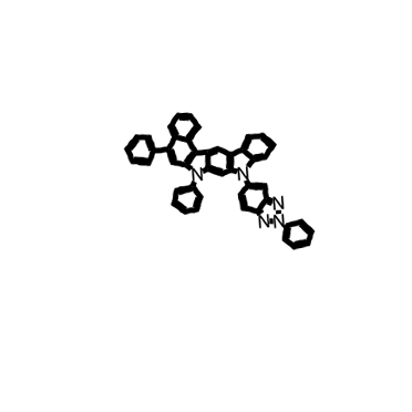 c1ccc(-c2cc3c(c4ccccc24)c2cc4c5ccccc5n(-c5ccc6nn(-c7ccccc7)nc6c5)c4cc2n3-c2ccccc2)cc1